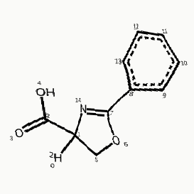 [2H]C1(C(=O)O)COC(c2ccccc2)=N1